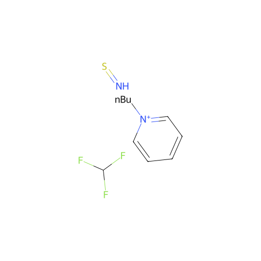 CCCC[n+]1ccccc1.FC(F)F.N=S